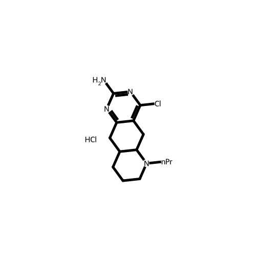 CCCN1CCCC2Cc3nc(N)nc(Cl)c3CC21.Cl